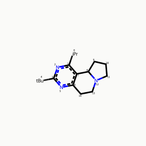 CC(C)c1nc(C(C)(C)C)nc2c1C1CCCN1CC2